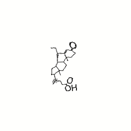 CCC1=CC2C(CCC3(C)C2CCC3[C@H](C)CCC(=O)O)C2(C)CCC(=O)C=C12